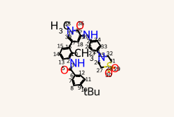 Cc1c(NC(=O)c2ccc(C(C)(C)C)cc2)cccc1-c1cc(Nc2ccc(N3CCS(=O)(=O)CC3)cc2)c(=O)n(C)c1